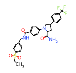 CCS(=O)(=O)c1ccc(CNC(=O)c2ccc(N3CC(c4ccc(C(F)(F)F)cc4)C[C@H]3C(N)=O)cc2)cc1